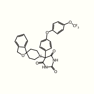 O=C1NC(=O)C(c2ccc(Oc3ccc(OC(F)(F)F)cc3)cc2)(N2CCC3(CC2)OCc2ccccc23)C(=O)N1